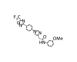 COc1cccc(NC(=O)Cc2cn(-c3ccc(-c4noc(C(F)(F)F)n4)cc3)cn2)c1